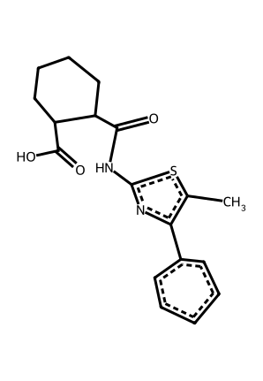 Cc1sc(NC(=O)C2CCCCC2C(=O)O)nc1-c1ccccc1